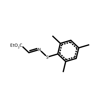 CCOC(=O)/C=N/Sc1c(C)cc(C)cc1C